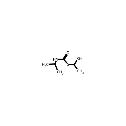 CC(C)NC(=O)SC(C)S